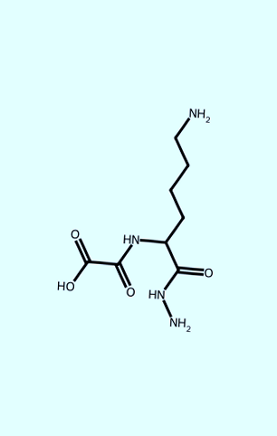 NCCCCC(NC(=O)C(=O)O)C(=O)NN